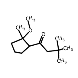 COC1(C)CCCC1C(=O)CC(C)(C)C